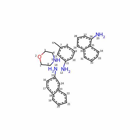 C1COCCN1.Cc1cccc(N)c1.Nc1ccc2ccccc2c1.Nc1cccc2ccccc12